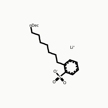 CCCCCCCCCCCCCCCCCc1ccccc1S(=O)(=O)[O-].[Li+]